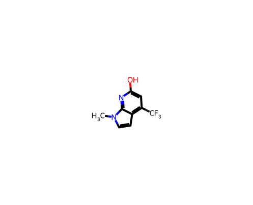 Cn1ccc2c(C(F)(F)F)cc(O)nc21